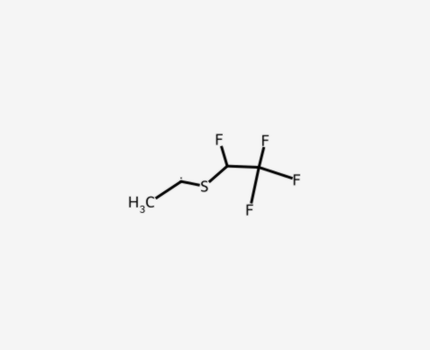 C[CH]SC(F)C(F)(F)F